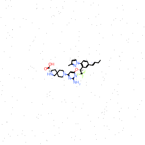 CC/C=C/c1ccc(-n2ccc(C)n2)c([C@@H](Oc2cc(N3CCC4(CC3)CN[C@H](C(=O)O)C4)nc(N)n2)C(F)(F)F)c1